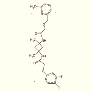 Cc1cccc(COCC(=O)NC2(C)CC(C)(NC(=O)COc3ccc(Cl)c(F)c3)C2)n1